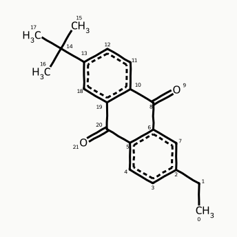 CCc1ccc2c(c1)C(=O)c1ccc(C(C)(C)C)cc1C2=O